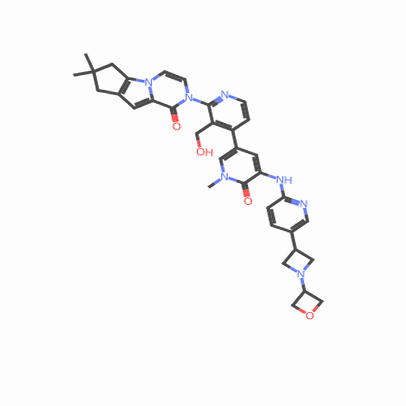 Cn1cc(-c2ccnc(-n3ccn4c5c(cc4c3=O)CC(C)(C)C5)c2CO)cc(Nc2ccc(C3CN(C4COC4)C3)cn2)c1=O